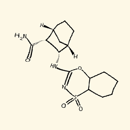 NC(=O)[C@@H]1[C@@H]2CC[C@@H](C2)[C@@H]1NC1=NS(=O)(=O)C2CCCCC2O1